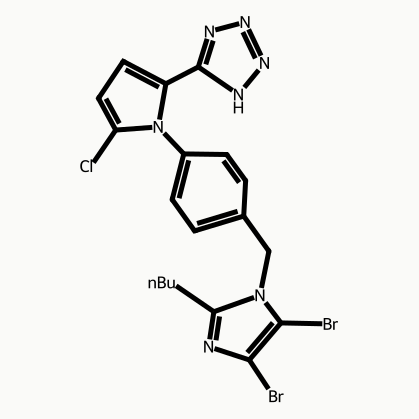 CCCCc1nc(Br)c(Br)n1Cc1ccc(-n2c(Cl)ccc2-c2nnn[nH]2)cc1